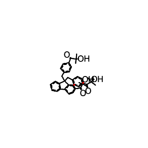 CC(C)(O)C(=O)c1ccc(CC2(Cc3ccc(C(=O)C(C)(C)O)cc3)c3ccccc3-c3ccc(C(=O)C(C)(C)O)cc32)cc1